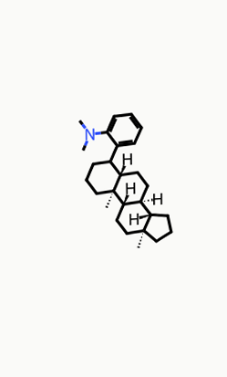 CN(C)c1ccccc1C1CCC[C@@]2(C)[C@H]1CC[C@H]1[C@@H]3CCC[C@@]3(C)CC[C@@H]12